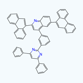 c1ccc(-c2cc(-c3ccccc3)nc(-c3cccc(-c4cc(-c5cc6ccccc6c6ccccc56)nc5ccc(-c6cc7ccccc7c7ccccc67)cc45)c3)n2)cc1